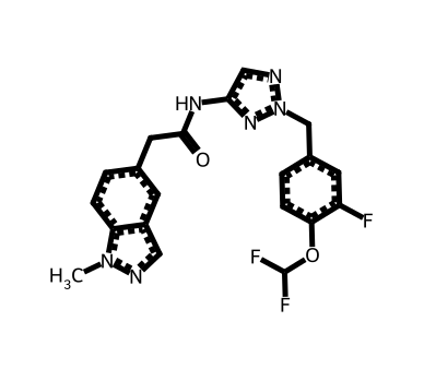 Cn1ncc2cc(CC(=O)Nc3cnn(Cc4ccc(OC(F)F)c(F)c4)n3)ccc21